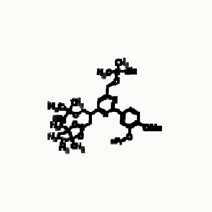 CCCOc1cc(-c2nc(CO[Si](C)(C)C(C)(C)C)cc(C(CO[Si](C)(C)C(C)(C)C)CB3OC(C)(C)C(C)(C)O3)n2)ccc1OC